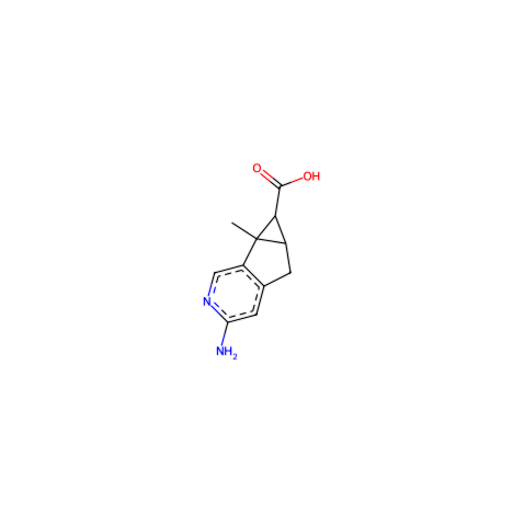 CC12c3cnc(N)cc3CC1C2C(=O)O